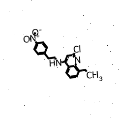 CCc1cccc2c(NCCc3ccc([N+](=O)[O-])cc3)cc(Cl)nc12